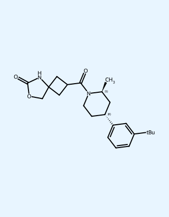 C[C@H]1C[C@H](c2cccc(C(C)(C)C)c2)CCN1C(=O)C1CC2(COC(=O)N2)C1